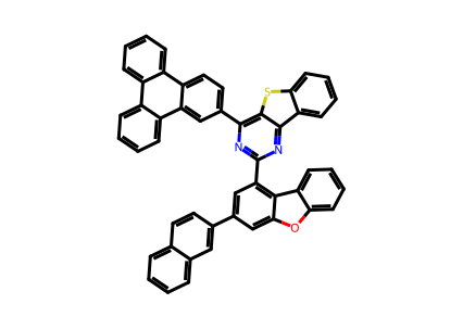 c1ccc2cc(-c3cc(-c4nc(-c5ccc6c7ccccc7c7ccccc7c6c5)c5sc6ccccc6c5n4)c4c(c3)oc3ccccc34)ccc2c1